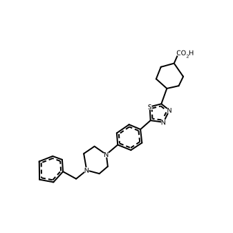 O=C(O)C1CCC(c2nnc(-c3ccc(N4CCN(Cc5ccccc5)CC4)cc3)s2)CC1